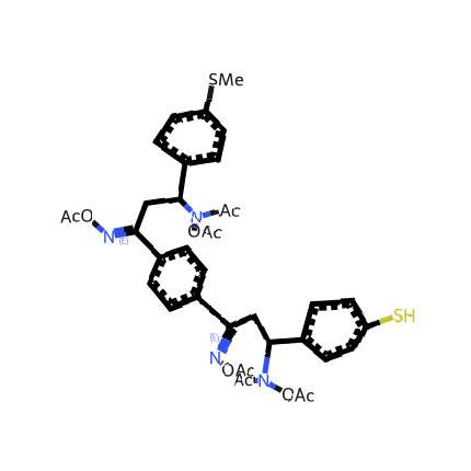 CSc1ccc(C(C/C(=N\OC(C)=O)c2ccc(/C(CC(c3ccc(S)cc3)N(OC(C)=O)C(C)=O)=N/OC(C)=O)cc2)N(OC(C)=O)C(C)=O)cc1